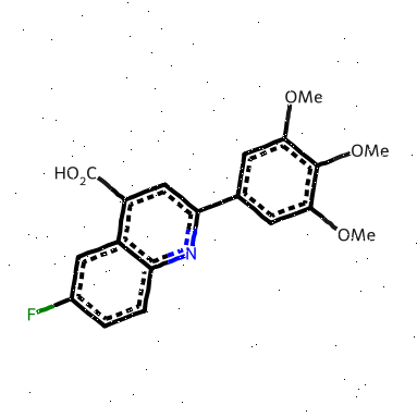 COc1cc(-c2cc(C(=O)O)c3cc(F)ccc3n2)cc(OC)c1OC